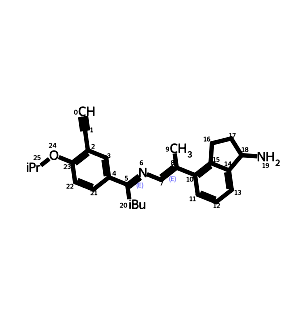 C#Cc1cc(/C(=N/C=C(\C)c2cccc3c2CCC3N)C(C)CC)ccc1OC(C)C